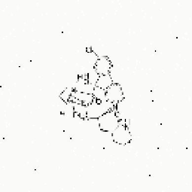 N#C[C@@H](C[C@@H]1CCCNC1=O)NC(=O)[C@H]1[C@H]2CC[C@H](CC2(F)F)N1C(=O)[C@]1(O)c2ccccc2-c2ccc(Cl)cc21